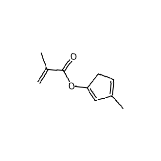 C=C(C)C(=O)OC1=CC(C)=CC1